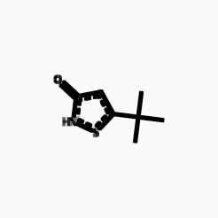 CC(C)(C)c1cc(=O)[nH]s1